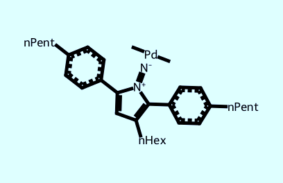 CCCCCCC1=C(c2ccc(CCCCC)cc2)[N+](=[N-])C(c2ccc(CCCCC)cc2)=C1.[CH3][Pd][CH3]